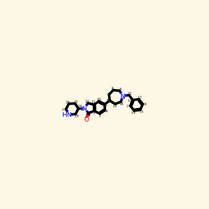 O=C1c2ccc(C3CCCN(Cc4ccccc4)CC3)cc2CN1C1CCCNC1